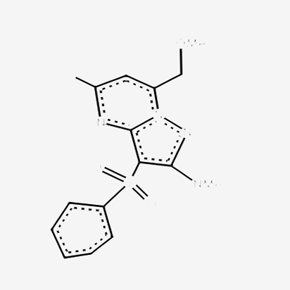 CNc1nn2c(COC)cc(C)nc2c1S(=O)(=O)c1ccccc1